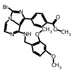 COC(=O)c1ccc(-c2nc(Br)n3ccnc(NCc4ccc(OC)cc4OC)c23)cc1